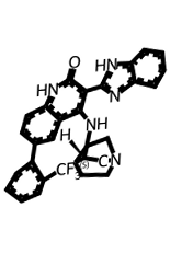 O=c1[nH]c2ccc(-c3ccccc3C(F)(F)F)cc2c(N[C@@H]2CN3CCC2CC3)c1-c1nc2ccccc2[nH]1